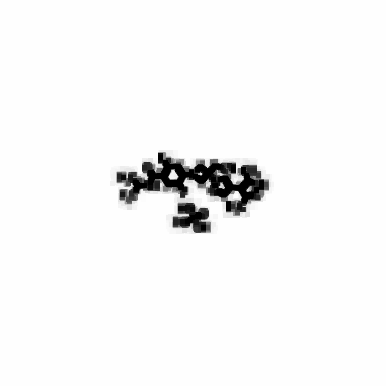 Cc1n[nH]c(C)c1-c1cnn(C2(CC#N)CN(c3cc(F)c(C(=O)NC(C)C(F)(F)F)cc3F)C2)c1.O=P(O)(O)O